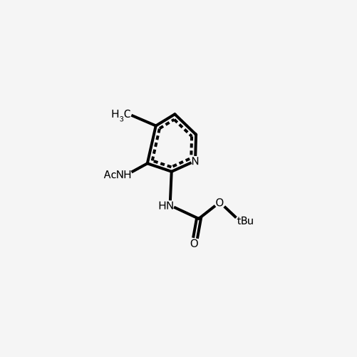 CC(=O)Nc1c(C)ccnc1NC(=O)OC(C)(C)C